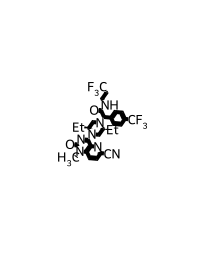 CC[C@H]1CN(C(C(=O)NCCC(F)(F)F)c2ccc(C(F)(F)F)cc2)[C@H](CC)CN1c1nc(=O)n(C)c2ccc(C#N)nc12